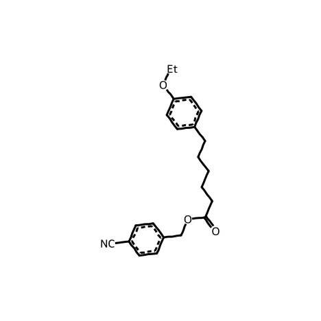 CCOc1ccc(CCCCCC(=O)OCc2ccc(C#N)cc2)cc1